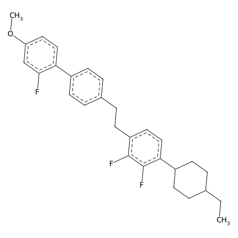 CCC1CCC(c2ccc(CCc3ccc(-c4ccc(OC)cc4F)cc3)c(F)c2F)CC1